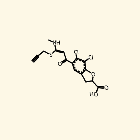 C#CCSC(=CC(=O)c1cc2c(c(Cl)c1Cl)OC(C(=O)O)C2)NC